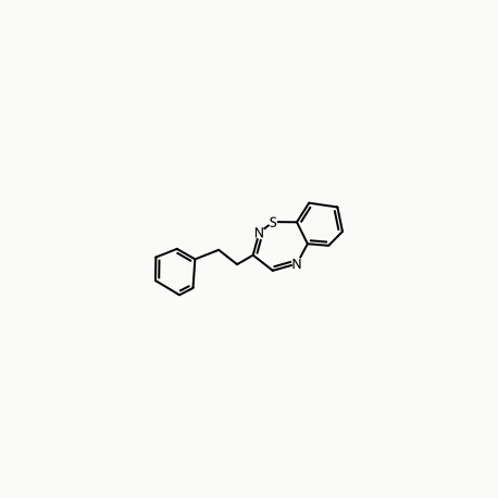 C1=Nc2ccccc2SN=C1CCc1ccccc1